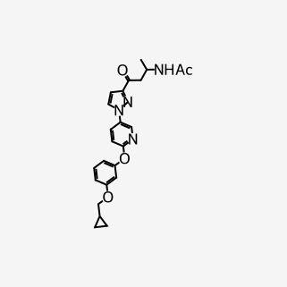 CC(=O)NC(C)CC(=O)c1ccn(-c2ccc(Oc3cccc(OCC4CC4)c3)nc2)n1